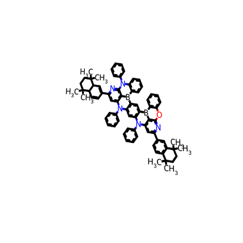 CC1(C)CCC(C)(C)c2cc(-c3cc4c5c(n3)Oc3ccccc3B5c3cc5c(cc3N4c3ccccc3)N(c3ccccc3)c3cc(C4=CC6C(C=C4)C(C)(C)CCC6(C)C)nc4c3B5c3ccccc3N4c3ccccc3)ccc21